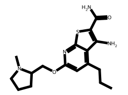 CCCc1cc(OCC2CCCN2C)nc2sc(C(N)=O)c(N)c12